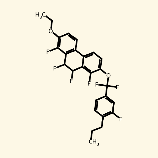 CCCc1ccc(C(F)(F)Oc2ccc3c(c2F)C(F)C(F)c2c-3ccc(OCC)c2F)cc1F